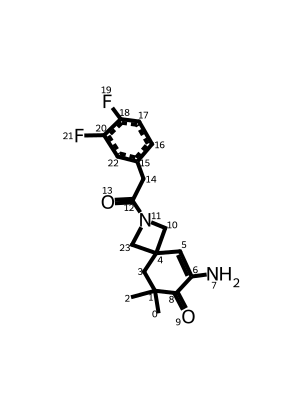 CC1(C)CC2(C=C(N)C1=O)CN(C(=O)Cc1ccc(F)c(F)c1)C2